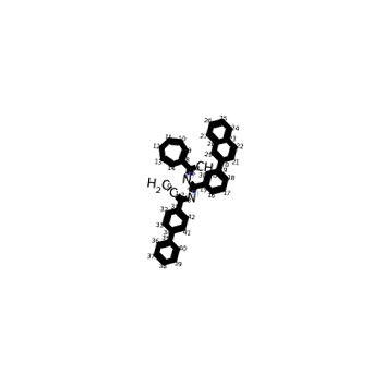 C=C=C(/N=C(\N=C(/C)C1=CC=CCC=C1)c1cccc(-c2ccc3ccccc3c2)c1)c1ccc(-c2ccccc2)cc1